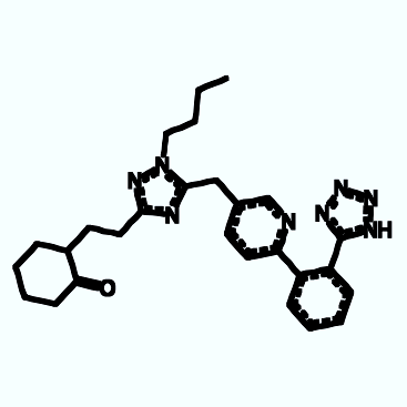 CCCCn1nc(CCC2CCCCC2=O)nc1Cc1ccc(-c2ccccc2-c2nnn[nH]2)nc1